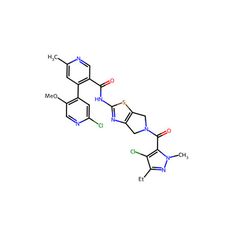 CCc1nn(C)c(C(=O)N2Cc3nc(NC(=O)c4cnc(C)cc4-c4cc(Cl)ncc4OC)sc3C2)c1Cl